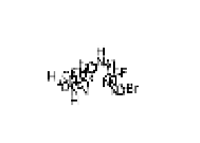 CC(C)n1c(=O)[nH]c2nccc(Oc3ccc(NC4OC4c4cnn(-c5cc(Br)ccn5)c4C(F)(F)F)cc3F)c21